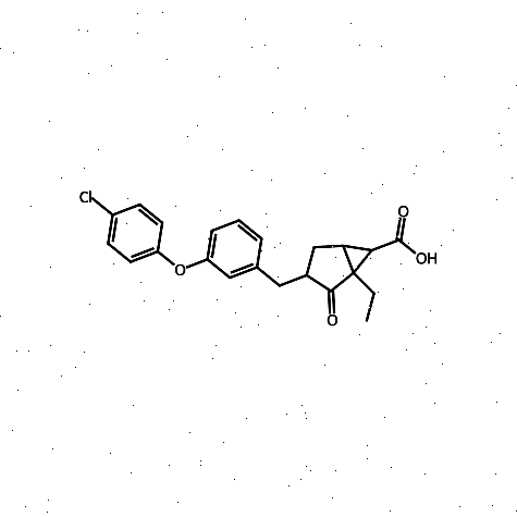 CCC12C(=O)C(Cc3cccc(Oc4ccc(Cl)cc4)c3)CC1C2C(=O)O